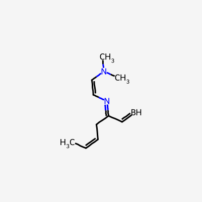 B=C/C(C/C=C\C)=N/C=C\N(C)C